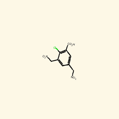 O=C(O)c1cc(C[N+](=O)[O-])cc(C[N+](=O)[O-])c1Cl